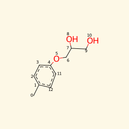 Cc1ccc(OCC(O)CO)cc1